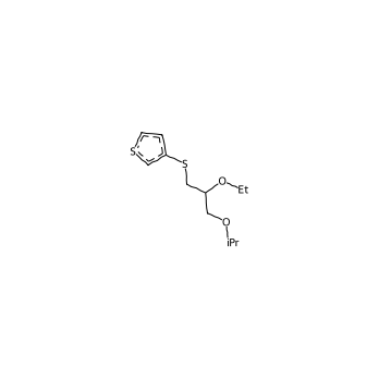 CCOC(COC(C)C)CSc1ccsc1